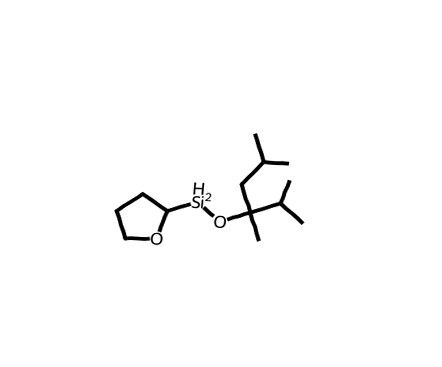 CC(C)CC(C)(O[SiH2]C1CCCO1)C(C)C